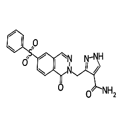 NC(=O)c1c[nH]nc1Cn1ncc2cc(S(=O)(=O)c3ccccc3)ccc2c1=O